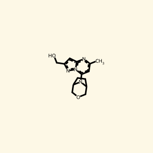 Cc1cc(N2C3CCC2COC3)n2nc(CO)cc2n1